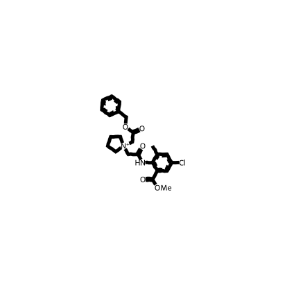 COC(=O)c1cc(Cl)cc(C)c1NC(=O)C[N+]1(CC(=O)OCc2ccccc2)CCCC1